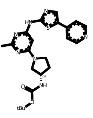 Cc1nc(Nc2ncc(-c3ccncc3)s2)cc(N2CC[C@H](NC(=O)OC(C)(C)C)C2)n1